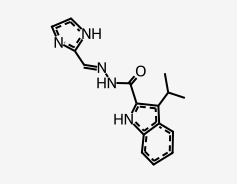 CC(C)c1c(C(=O)NN=Cc2ncc[nH]2)[nH]c2ccccc12